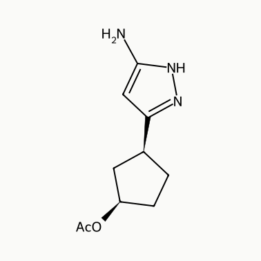 CC(=O)O[C@@H]1CC[C@H](c2cc(N)[nH]n2)C1